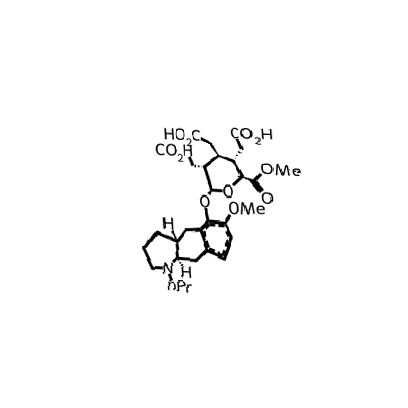 CCCN1CCC[C@@H]2Cc3c(ccc(OC)c3O[C@@H]3O[C@H](C(=O)OC)[C@@H](CC(=O)O)[C@H](CC(=O)O)[C@H]3CC(=O)O)C[C@H]21